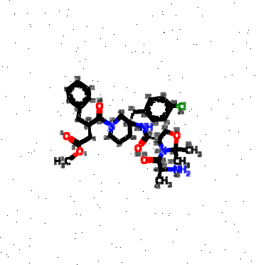 COC(=O)C[C@@H](Cc1ccccc1)C(=O)N1CCC[C@](Cc2ccc(Cl)cc2)(NC(=O)[C@@H]2COC(C)(C)N2C(=O)[C@H](C)N)C1